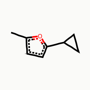 Cc1[c]cc(C2CC2)o1